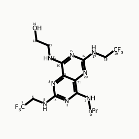 CCCNc1nc(NCC(F)(F)F)nc2c(NCCO)nc(NCC(F)(F)F)nc12